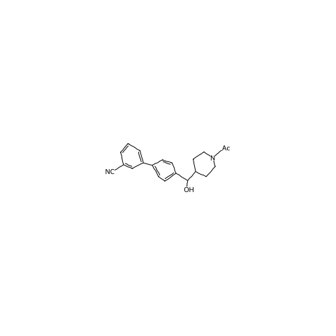 CC(=O)N1CCC(C(O)c2ccc(-c3cccc(C#N)c3)cc2)CC1